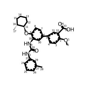 COc1ccc(-c2ccc(O[C@@H]3CCCC[C@H]3C)c(NC(=O)Nc3cccc(C)c3)c2)cc1C(=O)O